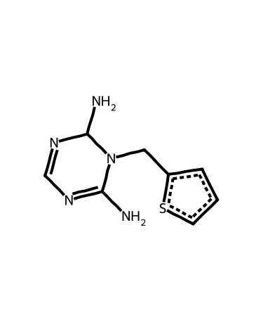 NC1=NC=NC(N)N1Cc1cccs1